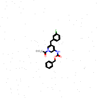 CCOC(=O)C(=O)N1C=C(Cc2cccc(F)c2)C=C(NC(=O)OCc2ccccc2)C1